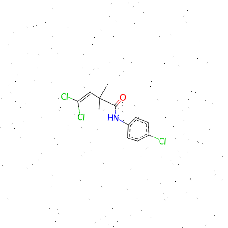 CC(C)(C=C(Cl)Cl)C(=O)Nc1ccc(Cl)cc1